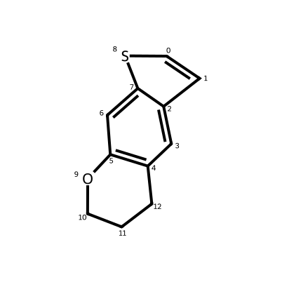 c1cc2cc3c(cc2s1)OCCC3